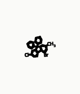 Cc1cc(Br)c2c(c1)C(c1ccccc1)(c1ccccc1)c1cc(Cl)ccc1-2